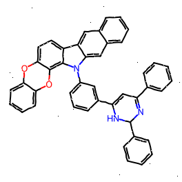 C1=C(c2cccc(-n3c4cc5ccccc5cc4c4ccc5c(c43)Oc3ccccc3O5)c2)NC(c2ccccc2)N=C1c1ccccc1